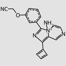 N#CCOc1cccc(C2=NC(C3=CC=C3)=C3C=NC=C[N+]23N)c1